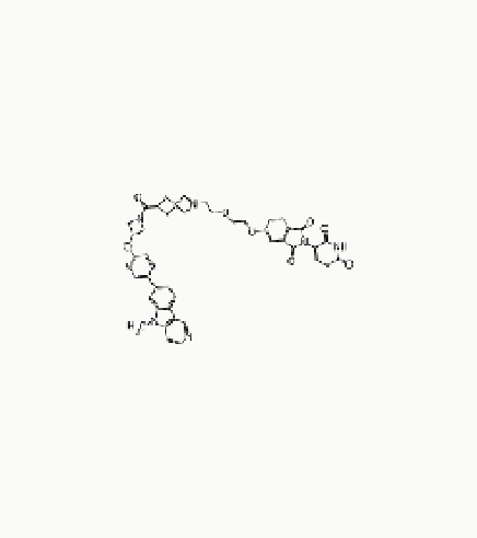 Cn1c2ccncc2c2ccc(-c3ccc(OC4CN(C(=O)C5CC6(C5)CN(CCOCCOc5ccc7c(c5)C(=O)N(C5CCC(=O)NC5=O)C7=O)C6)C4)nc3)cc21